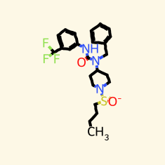 CCCC[S+]([O-])N1CCC(N(Cc2ccccc2)C(=O)Nc2cccc(C(F)(F)F)c2)CC1